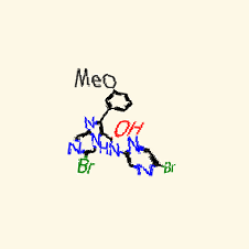 COc1cccc(-c2nc3cnc(Br)cn3c2C(O)Nc2cnc(Br)cn2)c1